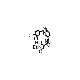 CCN1C(=O)C=C(C(=O)NCc2ccc3cnc(-c4ccc(Cl)c(Cl)c4)n3c2)C1O